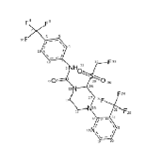 O=C(Nc1ccc(C(F)(F)F)cc1)N1CCN(c2ncccc2C(F)(F)F)CC1S(=O)(=O)CF